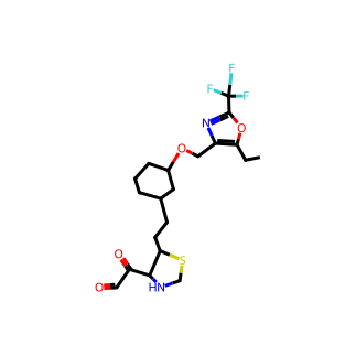 CCc1oc(C(F)(F)F)nc1COC1CCCC(CCC2SCNC2C(=O)C=O)C1